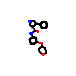 O=C(Nc1cccc(OC2CCOCC2)c1)[C@@H]1CNC[C@H]1c1ccccc1